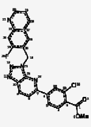 COC(=O)c1ccc(-c2ccc3nnn(Cc4cc5cccnc5cc4F)c3n2)cc1Cl